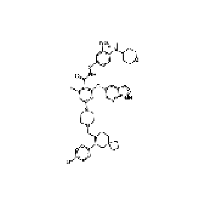 O=C(NSc1ccc(NC2CCOCC2)c([N+](=O)[O-])c1)c1c(F)cc(N2CCN(CC3=C(c4ccc(Cl)cc4)CC4(CCC4)CC3)CC2)cc1Oc1cnc2[nH]ccc2c1